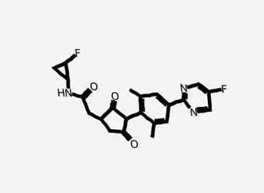 Cc1cc(-c2ncc(F)cn2)cc(C)c1C1C(=O)CC(CC(=O)NC2CC2F)C1=O